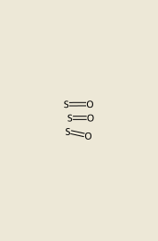 O=S.O=S.O=S